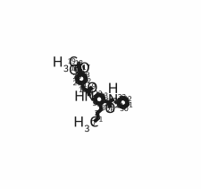 CCCCc1cc(NC(=O)Cc2ccc(S(=O)(=O)CC)cc2)ccc1C(=O)Nc1ccccc1